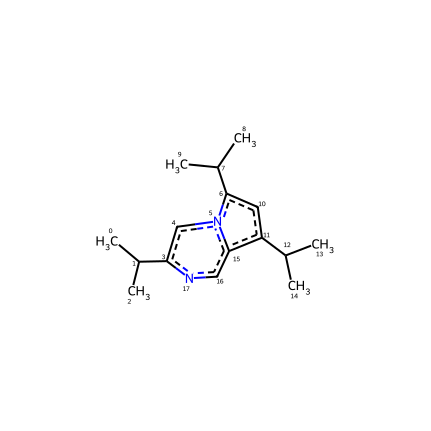 CC(C)c1cn2c(C(C)C)cc(C(C)C)c2cn1